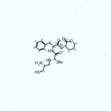 CC[C@H](C)[C@H](NC[C@@H](N)CS)C(=O)N[C@@H](Cc1ccccc1)C(=O)N[C@H]1CCCOC1=O